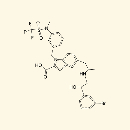 CC(Cc1ccc2c(c1)cc(C(=O)O)n2Cc1cccc(N(C)S(=O)(=O)C(F)(F)F)c1)NCC(O)c1cccc(Br)c1